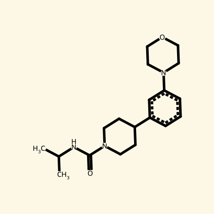 CC(C)NC(=O)N1CCC(c2cccc(N3CCOCC3)c2)CC1